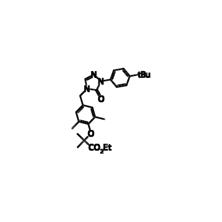 CCOC(=O)C(C)(C)Oc1c(C)cc(Cn2cnn(-c3ccc(C(C)(C)C)cc3)c2=O)cc1C